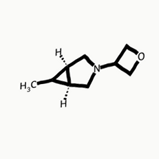 CC1[C@H]2CN(C3COC3)C[C@@H]12